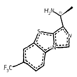 C[C@H](N)c1ncn2c1sc1cc(C(F)(F)F)ccc12